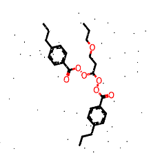 [CH2]CCOCC[C](OOC(=O)c1ccc(CCC)cc1)OOC(=O)c1ccc(CCC)cc1